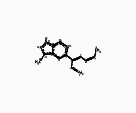 C=C/C(=C\C=C/C)c1cc2c(C)n[nH]c2cn1